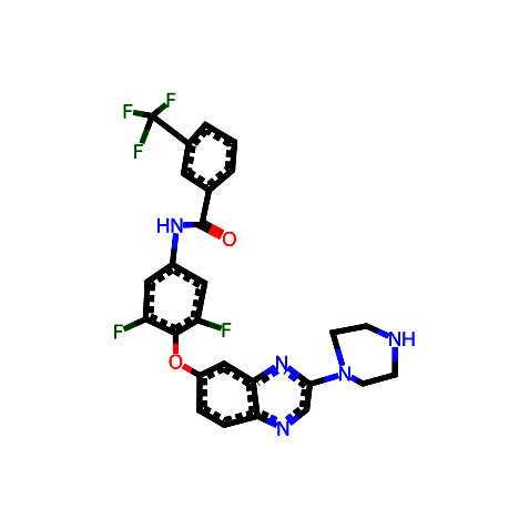 O=C(Nc1cc(F)c(Oc2ccc3ncc(N4CCNCC4)nc3c2)c(F)c1)c1cccc(C(F)(F)F)c1